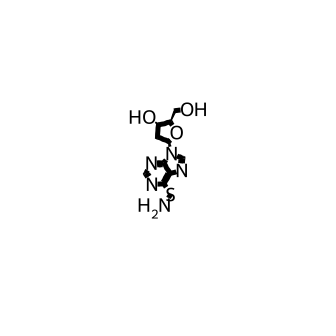 NSc1ncnc2c1ncn2[C@H]1C[C@H](O)[C@@H](CO)O1